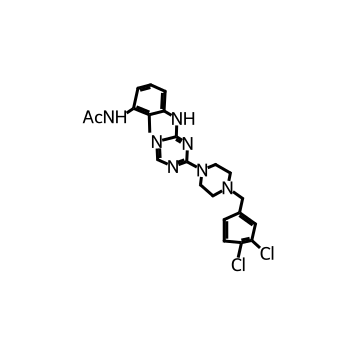 CC(=O)Nc1cccc(Nc2ncnc(N3CCN(Cc4ccc(Cl)c(Cl)c4)CC3)n2)c1C